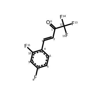 O=C(C=Cc1ccc(F)cc1F)C(F)(F)F